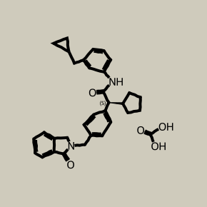 O=C(Nc1cccc(CC2CC2)c1)[C@H](c1ccc(CN2Cc3ccccc3C2=O)cc1)C1CCCC1.O=C(O)O